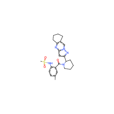 Cc1ccc(NS(C)(=O)=O)c(C(=O)N2CCCCC2c2cc3nc4c(cn3n2)CCCC4)c1